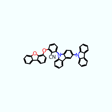 N#Cc1c(Oc2cccc3c2oc2ccccc23)cccc1-n1c2ccccc2c2cc(-n3c4ccccc4c4ccccc43)ccc21